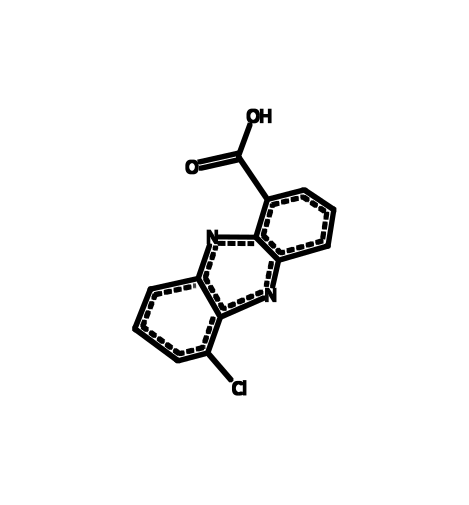 O=C(O)c1cccc2nc3c(Cl)cccc3nc12